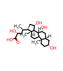 C[C@H](C[C@@H](O)C(=O)O)[C@H]1C[C@H](O)[C@H]2[C@H]3C(CC[C@@]21C)[C@@]1(C)CC[C@@H](O)C[C@H]1C[C@H]3O